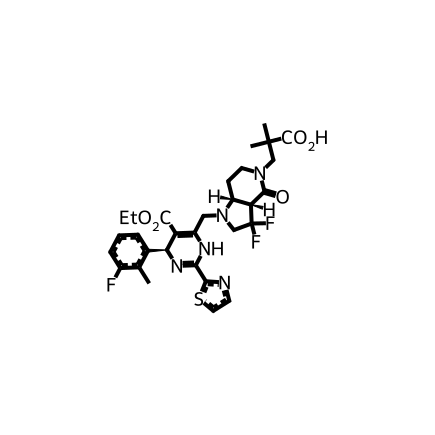 CCOC(=O)C1=C(CN2CC(F)(F)[C@H]3C(=O)N(CC(C)(C)C(=O)O)CC[C@H]32)NC(c2nccs2)=N[C@H]1c1cccc(F)c1C